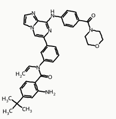 C=CN(C(=O)c1ccc(C(C)(C)C)cc1N)c1cccc(-c2cn3ccnc3c(Nc3ccc(C(=O)N4CCOCC4)cc3)n2)c1